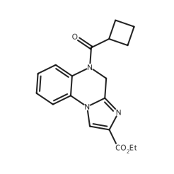 CCOC(=O)c1cn2c(n1)CN(C(=O)C1CCC1)c1ccccc1-2